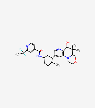 CC1CCC(NC(=O)c2ccnc(C(C)(F)F)c2)C[C@H]1c1cnc2c(c1)N1CCOCC1C(C)(C)C2O